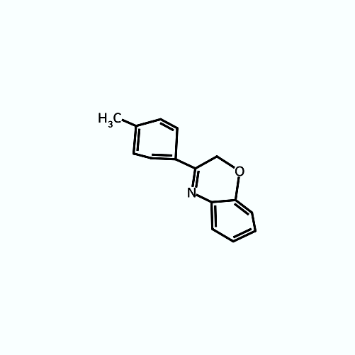 Cc1ccc(C2=Nc3ccccc3OC2)cc1